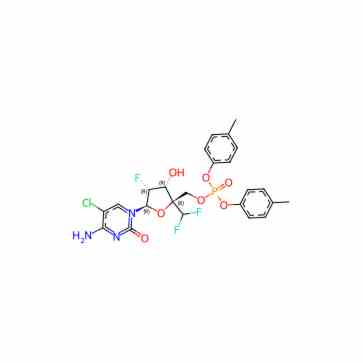 Cc1ccc(OP(=O)(OC[C@@]2(C(F)F)O[C@@H](n3cc(Cl)c(N)nc3=O)[C@H](F)[C@@H]2O)Oc2ccc(C)cc2)cc1